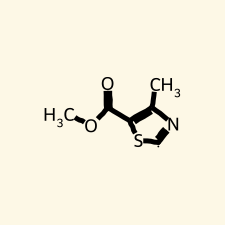 COC(=O)c1s[c]nc1C